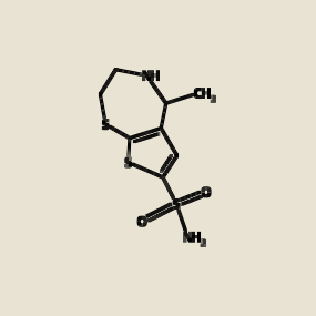 CC1NCCSc2sc(S(N)(=O)=O)cc21